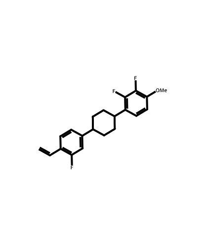 C=Cc1ccc(C2CCC(c3ccc(OC)c(F)c3F)CC2)cc1F